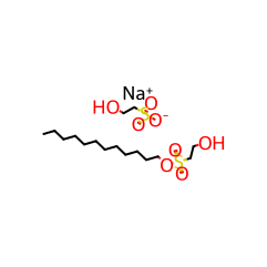 CCCCCCCCCCCCOS(=O)(=O)CCO.O=S(=O)([O-])CCO.[Na+]